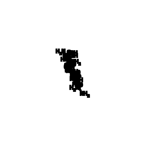 NCCCC[C@H](NC(=O)CNC(=O)[C@H](CCC(N)=O)NC(=O)[C@@H]1CCCN1C(=O)CNC(=O)CNC(=O)[C@@H]1CCCN1C(=O)[C@H](Cc1c[nH]cn1)NC(=O)CNC(=O)[C@@H](N)CCCCN)C(=O)N[C@@H](CS)C(=O)O